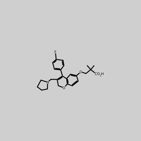 CC(C)(COc1ccc2c(c1)C(c1ccc(F)cc1)=C(CN1CCCC1)CO2)C(=O)O